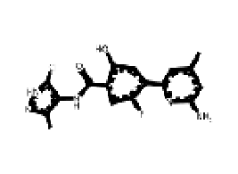 Cc1cc(N)nc(-c2cc(O)c(C(=O)Nc3c(C)n[nH]c3Cl)cc2F)c1